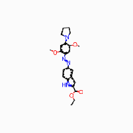 CCOC(=O)c1cc2cc(/N=N/c3cc(OC)c(N4CCCC4)cc3OC)ccc2[nH]1